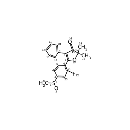 C[S+]([O-])c1ccc(C2=C(c3ccccc3)C(=O)C(C)(C)O2)c(F)c1